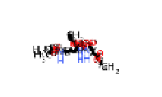 C=CCOC(=O)CCC(NC(=O)NC(CCCCNC(=O)OC(C)(C)C)C(=O)OCC=C)C(=O)O